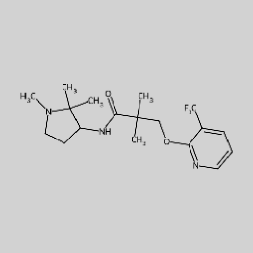 CN1CCC(NC(=O)C(C)(C)COc2ncccc2C(F)(F)F)C1(C)C